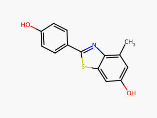 Cc1cc(O)cc2sc(-c3ccc(O)cc3)nc12